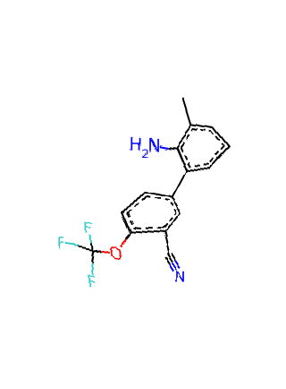 Cc1cccc(-c2ccc(OC(F)(F)F)c(C#N)c2)c1N